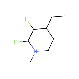 CCC1CCN(C)C(F)C1F